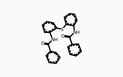 O=C(Nc1ccccc1Sc1ccccc1NC(=O)c1ccccc1)c1ccccc1